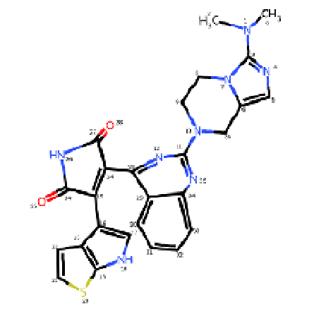 CN(C)c1ncc2n1CCN(c1nc(C3=C(c4c[nH]c5sccc45)C(=O)NC3=O)c3ccccc3n1)C2